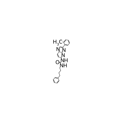 Cc1ccccc1-c1cnc2ccc(NC(=O)NCCCCc3ccccc3)nc2n1